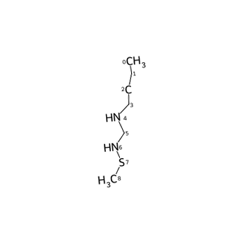 CCCCNCNSC